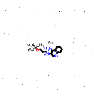 CC(C)(C)[Si](C)(C)OCCCNc1cnc2ccccc2c1N.[Fe]